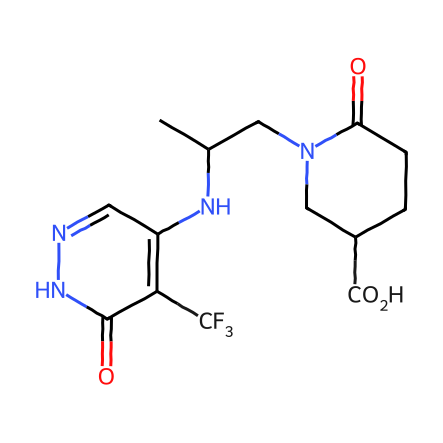 CC(CN1CC(C(=O)O)CCC1=O)Nc1cn[nH]c(=O)c1C(F)(F)F